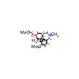 COCOC1C=CC2(CCN(C)Cc3ccc(OC)c(C)c32)C(C)C1